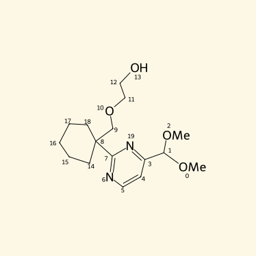 COC(OC)c1ccnc(C2(COCCO)CCCCC2)n1